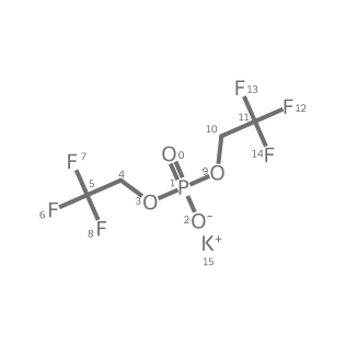 O=P([O-])(OCC(F)(F)F)OCC(F)(F)F.[K+]